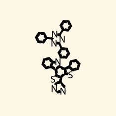 c1ccc(-c2nc(-c3ccccc3)nc(-c3cccc(-n4c5ccccc5c5c6sc7ncncc7c6c6sc7ccccc7c6c54)c3)n2)cc1